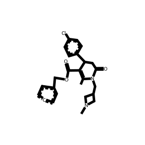 CC1=C(C(=O)OCc2ccccc2)C(c2ccc(Cl)cc2)CC(=O)N1CC1CN(C)C1